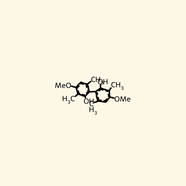 COc1cc(C)c(-c2c(C)cc(OC)c(C)c2O)c(O)c1C